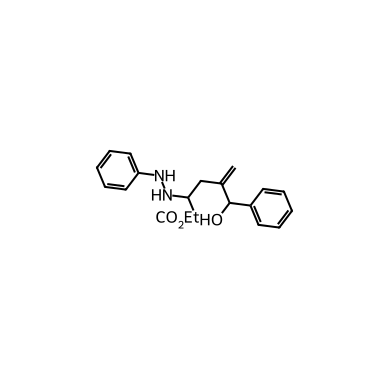 C=C(CC(NNc1ccccc1)C(=O)OCC)C(O)c1ccccc1